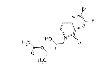 C[C@@H](CC(O)Cn1ccc2cc(Br)c(F)cc2c1=O)OC(N)=O